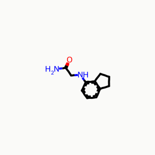 NC(=O)CNc1cccc2c1CCC2